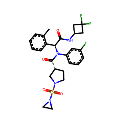 Cc1ccccc1[C@@H](C(=O)NC1CC(F)(F)C1)N(C(=O)[C@@H]1CCN(S(=O)(=O)N2CC2)C1)c1cccc(F)c1